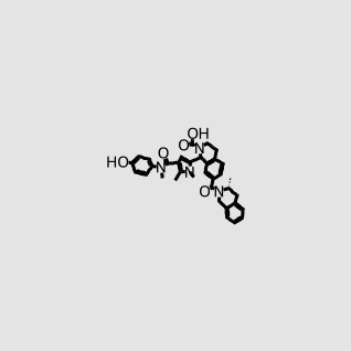 Cc1c(C(=O)N(C)c2ccc(O)cc2)cc(C2c3cc(C(=O)N4Cc5ccccc5C[C@H]4C)ccc3CCN2C(=O)O)n1C